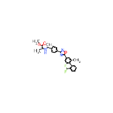 COC(=O)[C@@H](C)N[C@H](C)c1ccc(-c2noc(-c3ccc(-c4ccccc4C(F)F)c(C)c3)n2)cc1